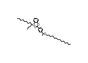 CCCCCCCCCCCCCCOC(C)c1ccc(C(=O)Oc2ccccc2OC(CCC)CCCCCCCC)cc1